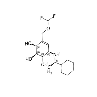 C[C@@H](N[C@@H]1C=C(COC(F)F)[C@H](O)[C@H](O)[C@H]1O)C1CCCCC1